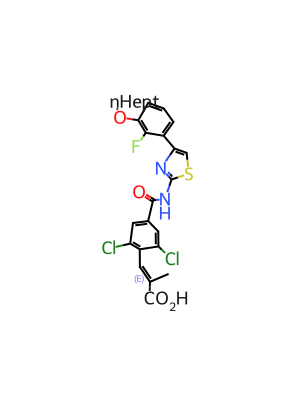 CCCCCCCOc1cccc(-c2csc(NC(=O)c3cc(Cl)c(/C=C(\C)C(=O)O)c(Cl)c3)n2)c1F